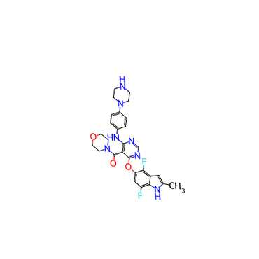 Cc1cc2c(F)c(Oc3ncnc(Nc4ccc(N5CCNCC5)cc4)c3C(=O)N3CCOCC3)cc(F)c2[nH]1